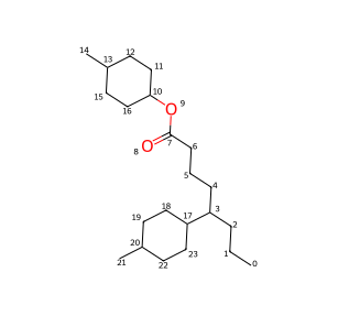 CCCC(CCCC(=O)OC1CCC(C)CC1)C1CCC(C)CC1